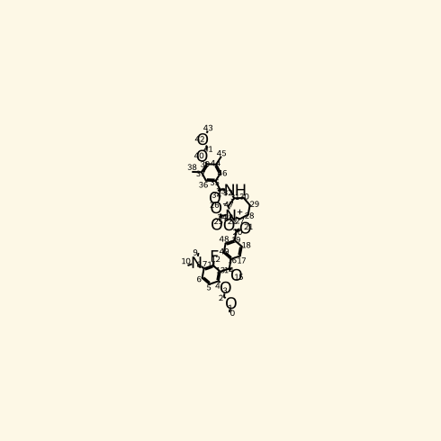 COCOc1ccc(N(C)C)c(F)c1C(=O)c1ccc(C(=O)O[N+]2(C(=O)[O-])CCCCC(NC(=O)c3cc(C)c(OCOC)c(C)c3)C2)cc1